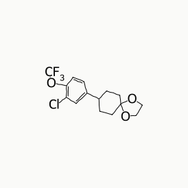 FC(F)(F)Oc1ccc(C2CCC3(CC2)OCCO3)cc1Cl